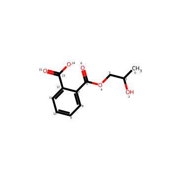 CC(O)COC(=O)c1ccccc1C([O])=O